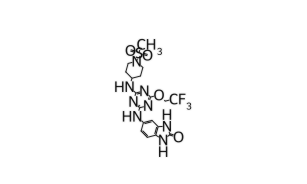 CS(=O)(=O)N1CCC(Nc2nc(Nc3ccc4[nH]c(=O)[nH]c4c3)nc(OCC(F)(F)F)n2)CC1